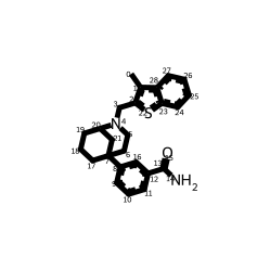 Cc1c(CN2CCC3(c4cccc(C(N)=O)c4)CCCC2C3)sc2ccccc12